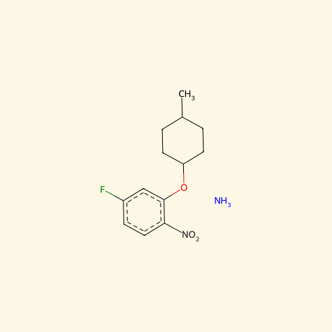 CC1CCC(Oc2cc(F)ccc2[N+](=O)[O-])CC1.N